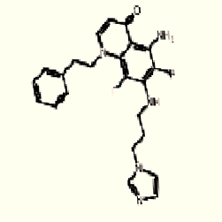 Nc1c(F)c(NCCCn2ccnc2)c(F)c2c1c(=O)ccn2CCc1ccccc1